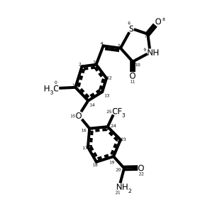 Cc1cc(C=C2SC(=O)NC2=O)ccc1Oc1ccc(C(N)=O)cc1C(F)(F)F